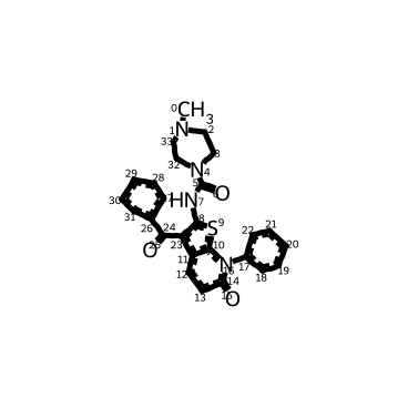 CN1CCN(C(=O)Nc2sc3c(ccc(=O)n3-c3ccccc3)c2C(=O)c2ccccc2)CC1